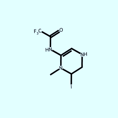 CN1C(NC(=O)C(F)(F)F)=CNCC1I